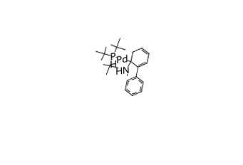 CN[C]1([Pd][PH](C(C)(C)C)(C(C)(C)C)C(C)(C)C)CC=CC=C1c1ccccc1